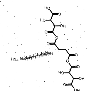 O=C(CCC(=O)OC(=O)C(O)C(O)C(=O)O)OC(=O)C(O)C(O)C(=O)O.[NaH].[NaH].[NaH].[NaH].[NaH].[NaH].[NaH].[NaH]